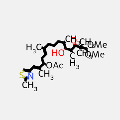 COC(OC)C(C)(C)C(=O)C(C)C(O)C(C)CCC/C(C)=C/CC(OC(C)=O)/C(C)=C/c1csc(C)n1